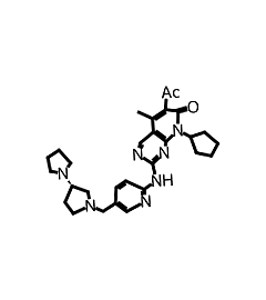 CC(=O)c1c(C)c2cnc(Nc3ccc(CN4CC[C@H](N5CCCC5)C4)cn3)nc2n(C2CCCC2)c1=O